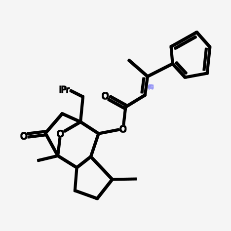 C/C(=C\C(=O)OC1C2C(C)CCC2C2(C)OC1(CC(C)C)CC2=O)c1ccccc1